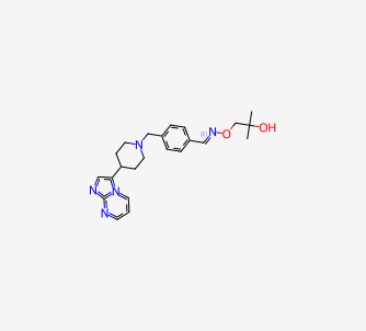 CC(C)(O)CO/N=C/c1ccc(CN2CCC(c3cnc4ncccn34)CC2)cc1